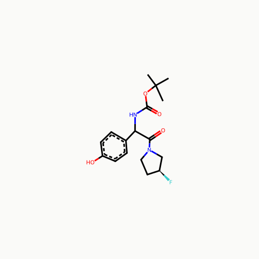 CC(C)(C)OC(=O)NC(C(=O)N1CC[C@H](F)C1)c1ccc(O)cc1